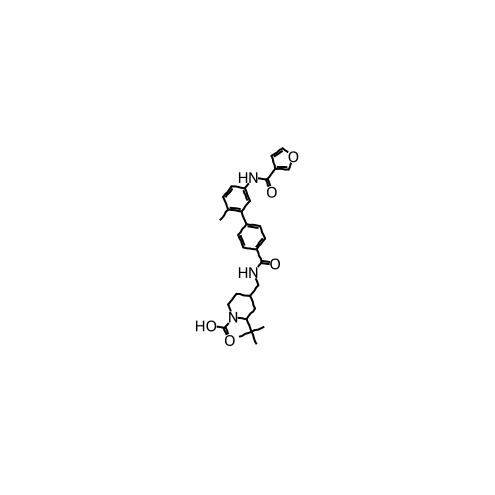 Cc1ccc(NC(=O)c2ccoc2)cc1-c1ccc(C(=O)NCC2CCN(C(=O)O)C(C(C)(C)C)C2)cc1